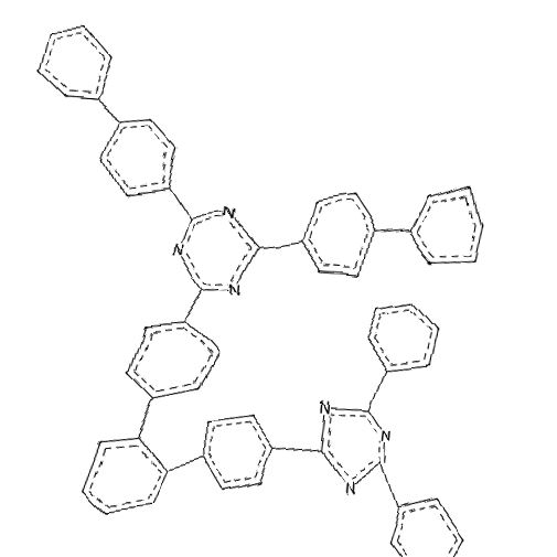 c1ccc(-c2ccc(-c3nc(-c4ccc(-c5ccccc5)cc4)nc(-c4ccc(-c5ccccc5-c5ccc(-c6nc(-c7ccccc7)nc(-c7ccccc7)n6)cc5)cc4)n3)cc2)cc1